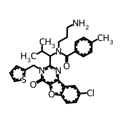 Cc1ccc(C(=O)N(CCCN)C(c2nc3c(oc4ccc(Cl)cc43)c(=O)n2Cc2cccs2)C(C)C)cc1